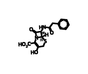 O=C(Cc1ccccc1)N[C@@H]1C(=O)N2C(C(=O)O)=C(O)CS[C@@H]12